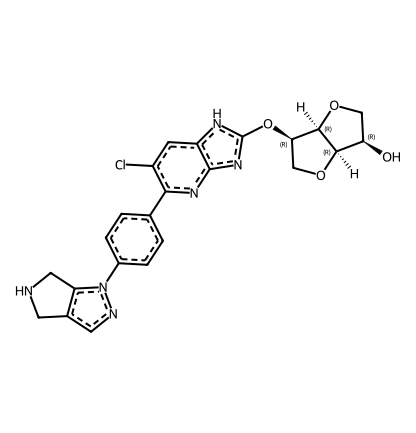 O[C@@H]1CO[C@H]2[C@@H]1OC[C@H]2Oc1nc2nc(-c3ccc(-n4ncc5c4CNC5)cc3)c(Cl)cc2[nH]1